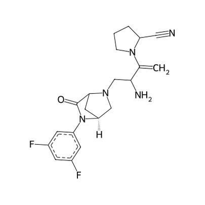 C=C(C(N)CN1C[C@@H]2CC1C(=O)N2c1cc(F)cc(F)c1)N1CCCC1C#N